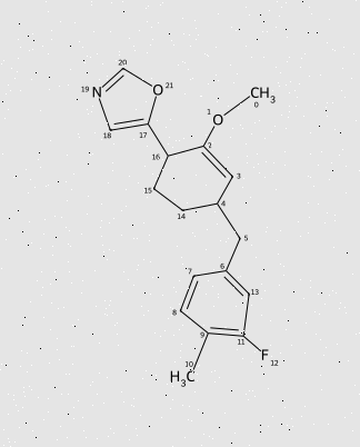 COC1=CC(Cc2ccc(C)c(F)c2)CCC1c1cnco1